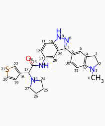 CN1CCc2cc(-c3n[nH]c4ccc(NC(=O)C(c5ccsc5)N5CCCC5)cc34)ccc21